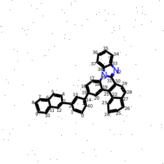 c1cc(-c2ccc3ccccc3c2)cc(-c2ccc3c(c2)c2c4ccccc4ccc2c2nc4ccccc4n32)c1